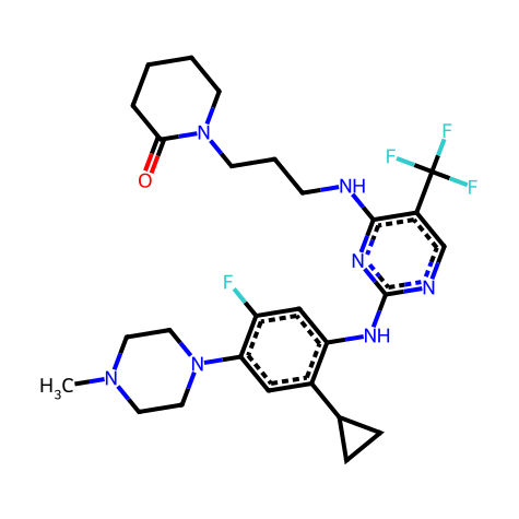 CN1CCN(c2cc(C3CC3)c(Nc3ncc(C(F)(F)F)c(NCCCN4CCCCC4=O)n3)cc2F)CC1